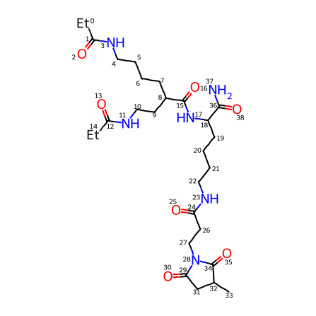 CCC(=O)NCCCCC(CCNC(=O)CC)C(=O)NC(CCCCNC(=O)CCN1C(=O)CC(C)C1=O)C(N)=O